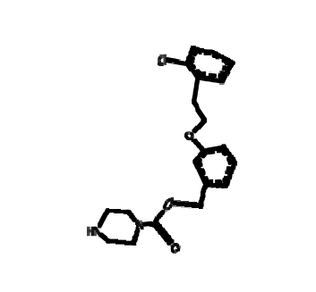 O=C(OCc1cccc(OCCc2ccccc2Cl)c1)N1CCNCC1